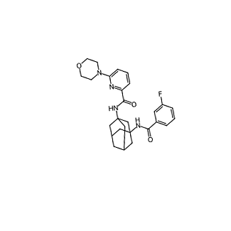 O=C(NC12CC3CC(C1)CC(NC(=O)c1cccc(N4CCOCC4)n1)(C3)C2)c1cccc(F)c1